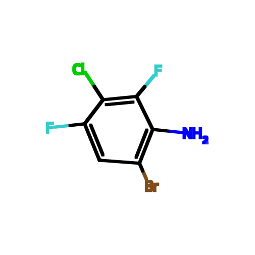 Nc1c(Br)cc(F)c(Cl)c1F